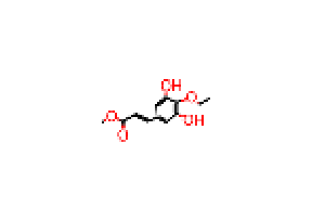 CCOc1c(O)cc(C=CC(=O)OC)cc1O